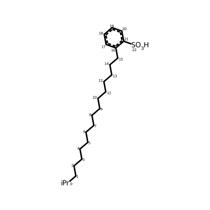 CC(C)CCCCCCCCCCCCCCCc1ccccc1S(=O)(=O)O